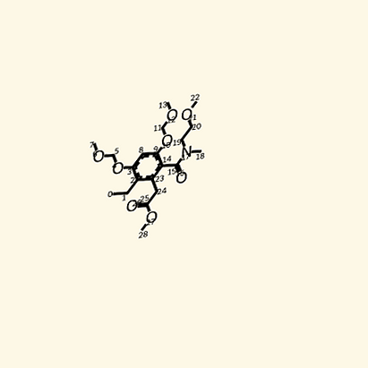 CCc1c(OCOC)cc(OCOC)c(C(=O)N(C)CCOC)c1CC(=O)OC